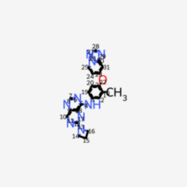 Cc1cc(Nc2ncnc3cnc(N4CCC4)nc23)ccc1Oc1ccn2ncnc2c1